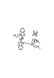 CC[N+](CC)(CC)CCCCn1/c(=N\N=c2\sc3ccccc3n2C)sc2ccccc21.F[B-](F)(F)F